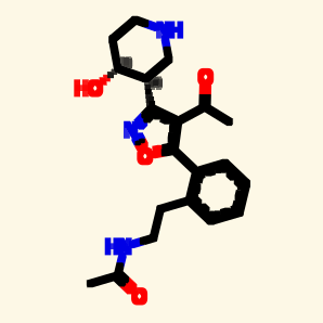 CC(=O)NCCc1ccccc1-c1onc([C@H]2CNCC[C@H]2O)c1C(C)=O